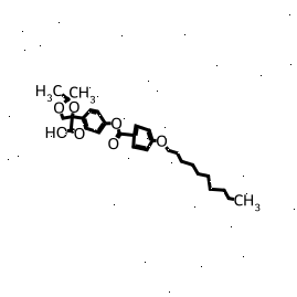 CCCCCCCCCCOc1ccc(C(=O)Oc2ccc(C3(C(=O)O)COC(C)(C)O3)cc2)cc1